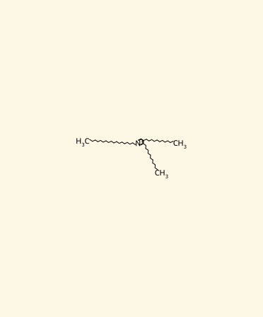 CCCCCCCCCCCCCCCCCCC[n+]1ccc(CCCCCCCCCCCC)c(CCCCCCCCCCCC)c1